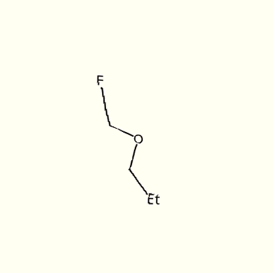 CCCOCF